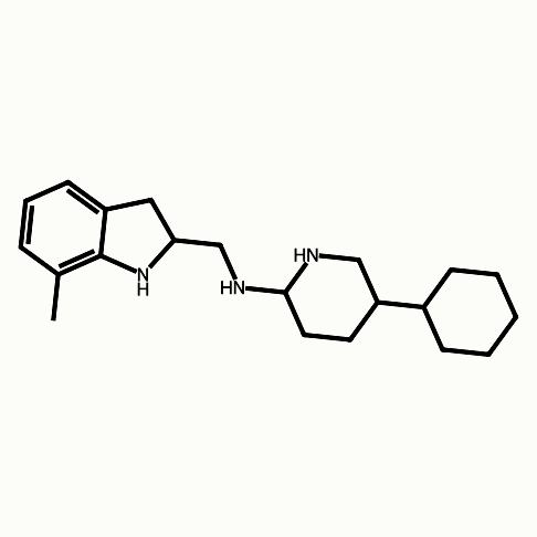 Cc1cccc2c1NC(CNC1CCC(C3CCCCC3)CN1)C2